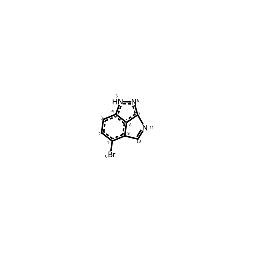 Brc1ccc2[nH]nc3c2c1C=N3